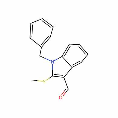 CSc1c(C=O)c2ccccc2n1Cc1ccccc1